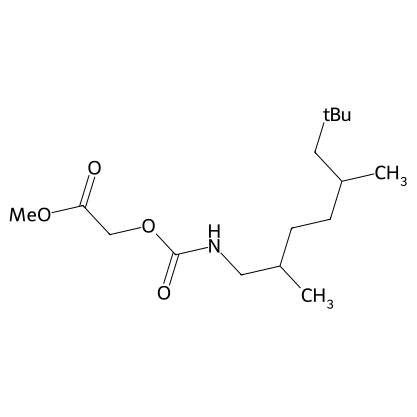 COC(=O)COC(=O)NCC(C)CCC(C)CC(C)(C)C